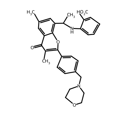 Cc1cc(C(C)Nc2ccccc2C(=O)O)c2oc(-c3ccc(CN4CCOCC4)cc3)c(C)c(=O)c2c1